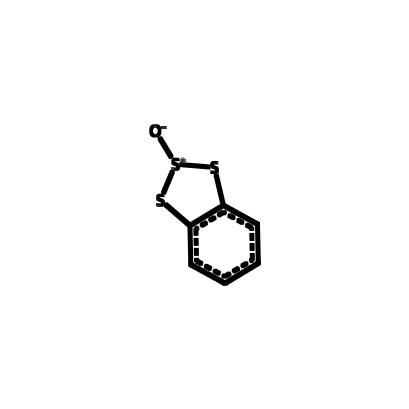 [O-][S+]1Sc2ccccc2S1